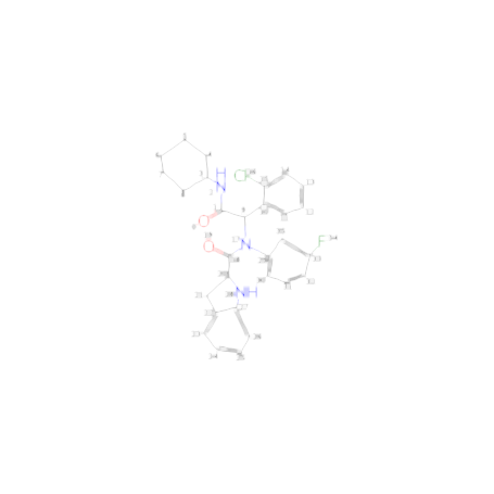 O=C(NC1CCCCC1)C(c1ccccc1Cl)N(C(=O)C1Cc2ccccc2N1)c1cccc(F)c1